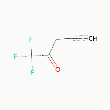 C#CCC(=O)C(F)(F)F